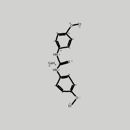 CCOc1ccc(NC(=S)Nc2ccc(OCC)cc2)cc1.[GeH4]